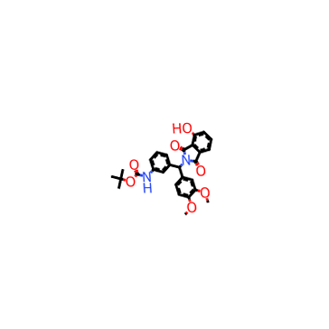 COc1ccc(C(c2cccc(NC(=O)OC(C)(C)C)c2)N2C(=O)c3cccc(O)c3C2=O)cc1OC